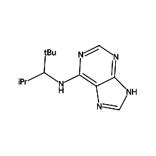 CC(C)C(Nc1ncnc2[nH]cnc12)C(C)(C)C